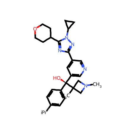 CC(C)c1ccc([C@](O)(c2cncc(-c3nc(C4CCOCC4)n(C4CC4)n3)c2)C2(C)CN(C)C2)cc1